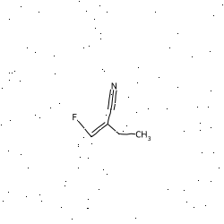 CC/C(C#N)=C/F